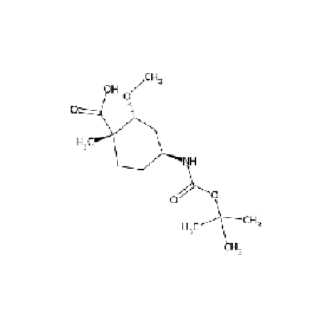 CO[C@@H]1C[C@@H](NC(=O)OC(C)(C)C)CC[C@]1(C)C(=O)O